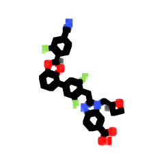 N#Cc1ccc([C@@H]2Oc3cccc(-c4cc(F)c(Cc5nc6ccc(C(=O)O)cc6n5C[C@@H]5CCO5)c(F)c4)c3O2)c(F)c1